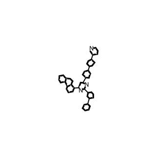 c1ccc(-c2cccc(-c3nc(-c4ccc(-c5ccc(-c6cccnc6)cc5)cc4)cc(-c4cccc5c4ccc4ccccc45)n3)c2)cc1